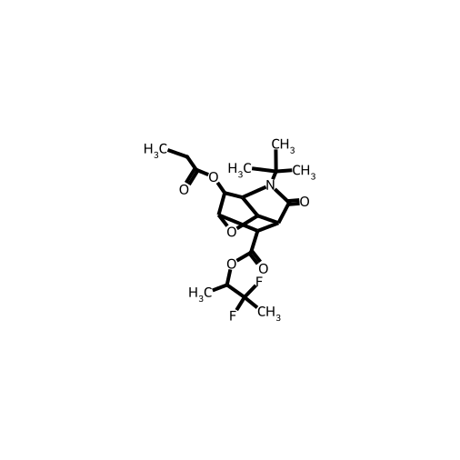 CCC(=O)OC1C2OC3C(C(=O)N(C(C)(C)C)C13)C2C(=O)OC(C)C(C)(F)F